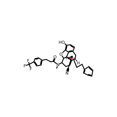 CN(C(=O)CCc1ccc(C(F)(F)F)cc1)C1CC[C@@]2(O)[C@H]3Cc4ccc(O)c5c4[C@@]2(CC(C#N)N3CCc2ccccc2)C1O5